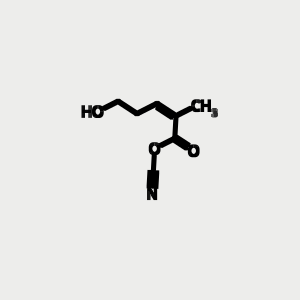 CC(=CCCO)C(=O)OC#N